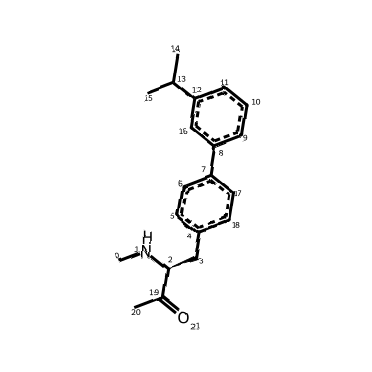 CN[C@@H](Cc1ccc(-c2cccc(C(C)C)c2)cc1)C(C)=O